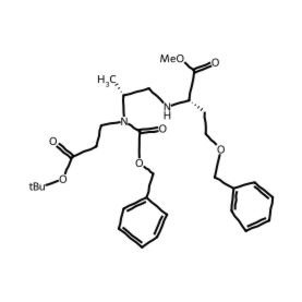 COC(=O)[C@H](CCOCc1ccccc1)NC[C@@H](C)N(CCC(=O)OC(C)(C)C)C(=O)OCc1ccccc1